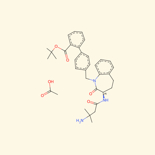 CC(=O)O.CC(C)(N)CC(=O)N[C@@H]1CCc2ccccc2N(Cc2ccc(-c3ccccc3C(=O)OC(C)(C)C)cc2)C1=O